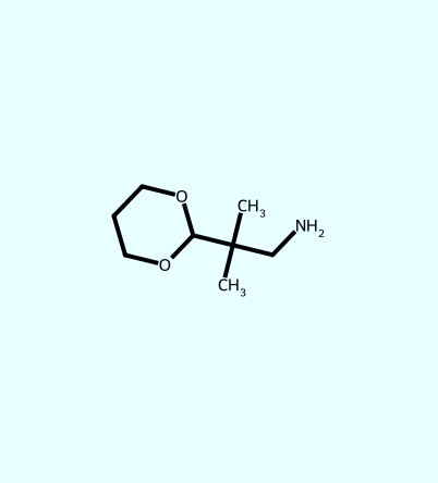 CC(C)(CN)C1OCCCO1